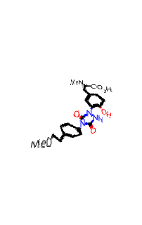 CN[C@@H](Cc1ccc(O)c(-n2[nH]c(=O)n(-c3ccc(CCOC)cc3)c2=O)c1)C(=O)O